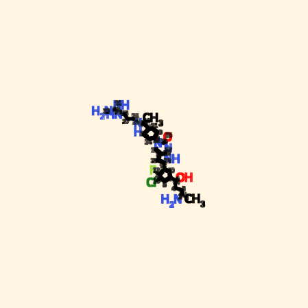 C[C@H](N)CC[C@@H](O)c1cc(Cl)c(F)c(-c2cc3cn(-c4ccc([C@H](C)NCCCNC(=N)N)cc4)c(=O)nc3[nH]2)c1